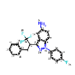 Nc1ccc2c(c1)c(C(Cc1ccccc1)C(F)(F)F)nn2-c1ccc(F)cc1